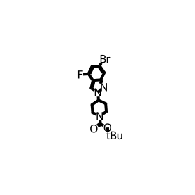 CC(C)(C)OC(=O)N1CCC(n2cc3c(F)cc(Br)cc3n2)CC1